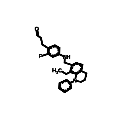 CCc1c(CNc2ccc(CCC=O)c(F)c2)ccc2c1N(c1ccccc1)CCC2